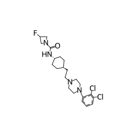 O=C(N[C@H]1CC[C@H](CCN2CCN(c3cccc(Cl)c3Cl)CC2)CC1)N1CC(F)C1